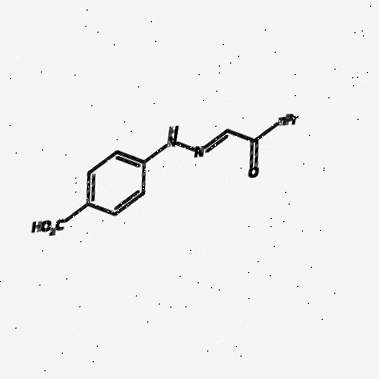 CCCC(=O)C=NNc1ccc(C(=O)O)cc1